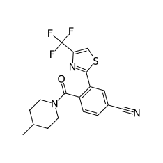 CC1CCN(C(=O)c2ccc(C#N)cc2-c2nc(C(F)(F)F)cs2)CC1